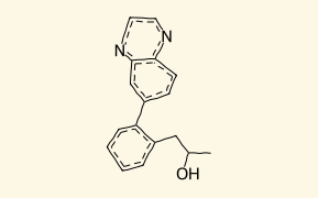 CC(O)Cc1ccccc1-c1ccc2nccnc2c1